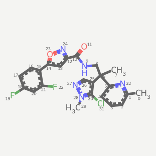 Cc1cccc(C(C)(CNC(=O)c2cc(-c3ccc(F)cc3F)on2)c2cnn(C)c2Cl)n1